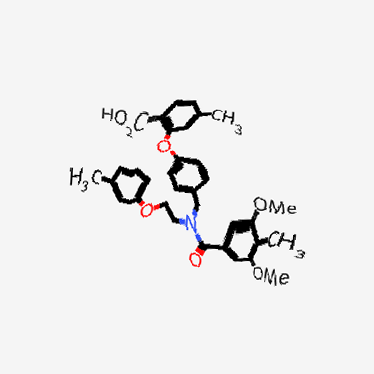 COc1cc(C(=O)N(CCOc2cccc(C)c2)Cc2ccc(Oc3cc(C)ccc3C(=O)O)cc2)cc(OC)c1C